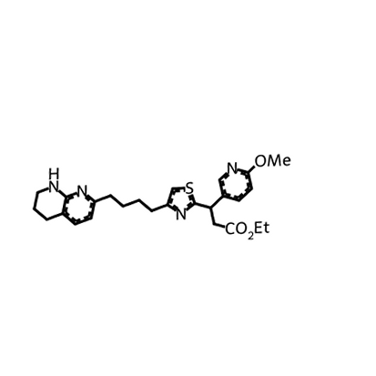 CCOC(=O)CC(c1ccc(OC)nc1)c1nc(CCCCc2ccc3c(n2)NCCC3)cs1